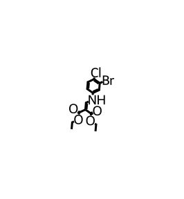 CCOC(=O)C(=CNc1ccc(Cl)c(Br)c1)C(=O)OCC